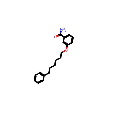 NC(=O)c1cccc(OCCCCCCc2ccccc2)c1